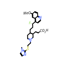 COc1ccc2nccc([C@@H](F)CCC3CCN(CCSc4nccn4C)CC3CCC(=O)O)c2c1